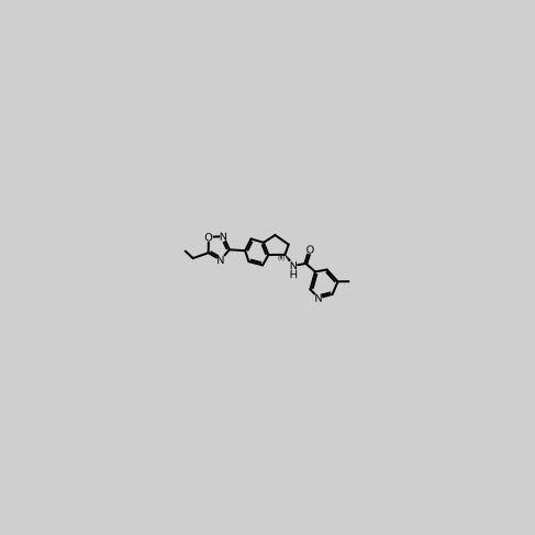 CCc1nc(-c2ccc3c(c2)CC[C@H]3NC(=O)c2cncc(C)c2)no1